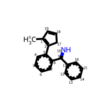 CC1=C(c2ccccc2C(=N)c2ccccc2)CC=C1